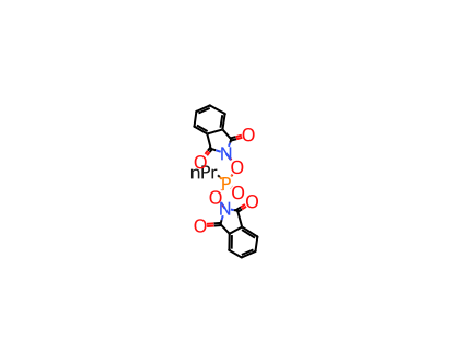 CCCP(=O)(ON1C(=O)c2ccccc2C1=O)ON1C(=O)c2ccccc2C1=O